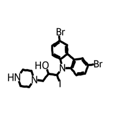 OC(CN1CCNCC1)C(I)n1c2ccc(Br)cc2c2cc(Br)ccc21